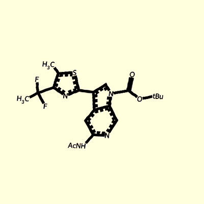 CC(=O)Nc1cc2c(-c3nc(C(C)(F)F)c(C)s3)cn(C(=O)OC(C)(C)C)c2cn1